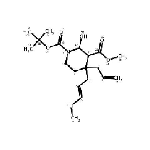 C=CCC1(CC=COC)CCN(C(=O)OC(C)(C)C)C(O)C1C(=O)OC